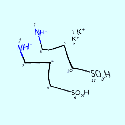 [K+].[K+].[NH-]CCCS(=O)(=O)O.[NH-]CCCS(=O)(=O)O